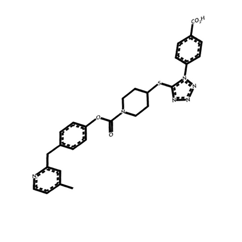 Cc1ccnc(Cc2ccc(OC(=O)N3CCC(Sc4nnnn4-c4ccc(C(=O)O)cc4)CC3)cc2)c1